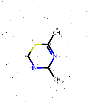 CC1=NC(C)NCS1